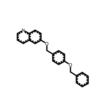 c1ccc(COc2ccc(COc3ccc4ncccc4c3)cc2)cc1